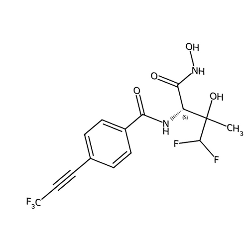 CC(O)(C(F)F)[C@H](NC(=O)c1ccc(C#CC(F)(F)F)cc1)C(=O)NO